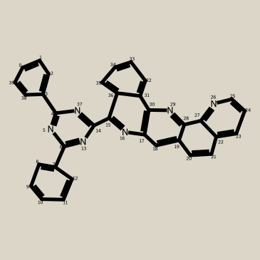 c1ccc(-c2nc(-c3ccccc3)nc(-c3nc4cc5ccc6cccnc6c5nc4c4ccccc34)n2)cc1